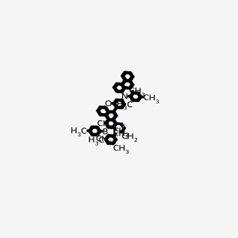 C=C/C=C\c1c(C)c(B(c2c(C)cc(C)cc2C)c2c(C)cc(C)cc2C)cc2c1cc1c3c(cccc32)Oc2cc(N(c3c(C)cc(C)cc3C)c3cccc4c3ccc3ccccc34)ccc2-1